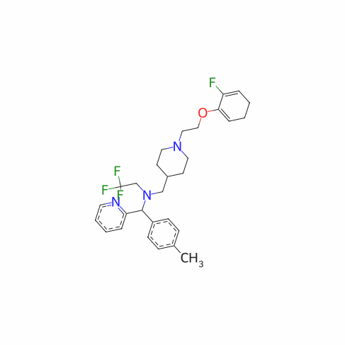 Cc1ccc(C(c2ccccn2)N(CC2CCN(CCOC3=CCCC=C3F)CC2)CC(F)(F)F)cc1